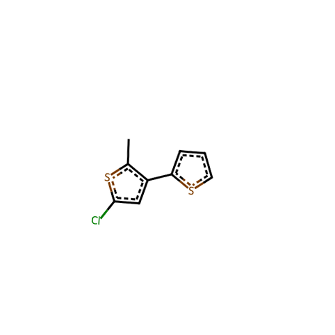 Cc1sc(Cl)cc1-c1cccs1